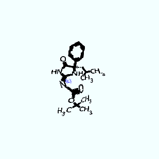 CC(C)C[C@]1(c2ccccc2)N/C(=N\C(=O)OC(C)(C)C)NC1=O